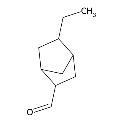 CCC1CC2CC1CC2C=O